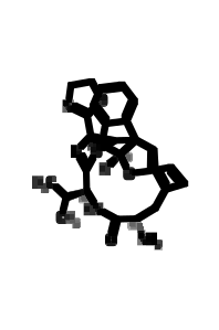 CC(C)[C@@H]1NC(=O)[C@@H](N)Cc2ccc3c(c2)C2(c4ccccc4N[C@H]2O3)c2oc1nc2C1=NCCO1